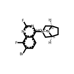 O=C(O)N1[C@@H]2CC[C@H]1CN(c1nc(F)nc3c(F)c(Br)ccc13)C2